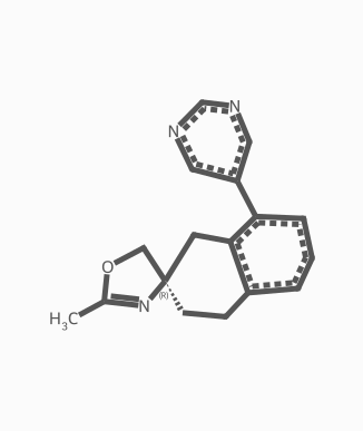 CC1=N[C@@]2(CCc3cccc(-c4cncnc4)c3C2)CO1